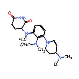 CCN(C)C1CCN(c2cccc(N(C)C3CCC(=O)NC3=O)c2N(C)C=O)CC1